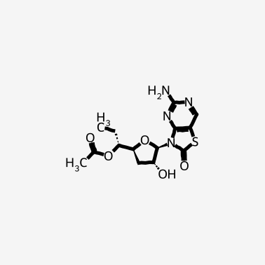 CC[C@@H](OC(C)=O)[C@@H]1C[C@@H](O)[C@H](n2c(=O)sc3cnc(N)nc32)O1